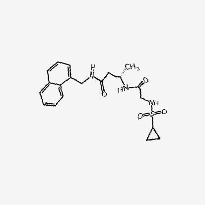 C[C@@H](CC(=O)NCc1cccc2ccccc12)NC(=O)CNS(=O)(=O)C1CC1